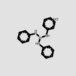 Cl.c1ccc([NH][Sn]([NH]c2ccccc2)[NH]c2ccccc2)cc1